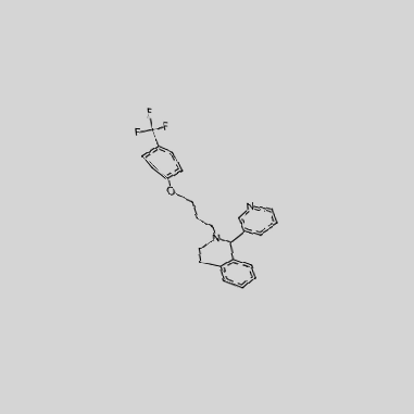 FC(F)(F)c1ccc(OCCCN2CCc3ccccc3C2c2cccnc2)cc1